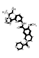 COc1cc2c(cc1C(=O)Nc1cccc(-c3nnnn3[C@H](C)CO)n1)CN(C(=O)C1CCOCC1)CC2